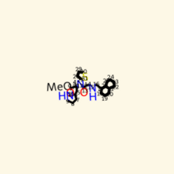 COC(=O)[C@](C)(CC1CCCN1)N(C(=O)CNCc1cccc2ccccc12)c1cccs1